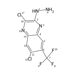 NNc1nc2cc(C(F)(F)F)c(Cl)cc2nc1Cl